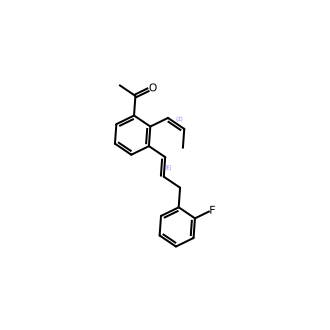 C/C=C\c1c(/C=C/Cc2ccccc2F)cccc1C(C)=O